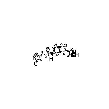 O=C(CCc1cc(Cl)no1)Nc1cc2cc(-c3cn[nH]c3)ccc2cn1